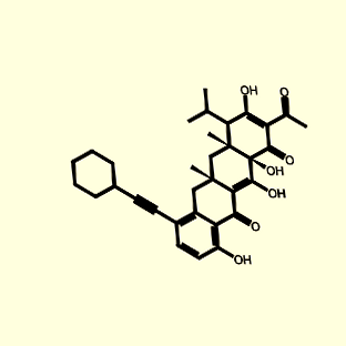 CC(=O)C1=C(O)C(C(C)C)[C@@]2(C)C[C@@]3(C)Cc4c(C#CC5CCCCC5)ccc(O)c4C(=O)C3=C(O)[C@@]2(O)C1=O